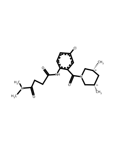 C[C@@H]1C[C@H](C)CN(C(=O)c2cc(Cl)ccc2NC(=O)CCC(=O)N(C)C)C1